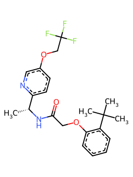 C[C@@H](NC(=O)COc1ccccc1C(C)(C)C)c1ccc(OCC(F)(F)F)cn1